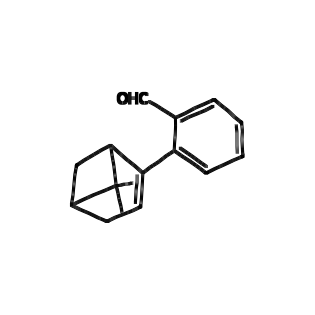 CC1(C)C2CC=C(c3ccccc3C=O)C1C2